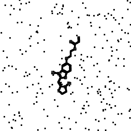 C=CC(=O)OCCOc1ccc2oc(C=C3SCCN3CC)[n+](CC)c2c1